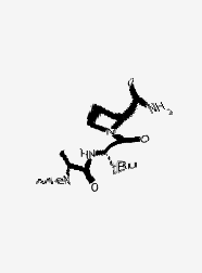 CN[C@@H](C)C(=O)N[C@H](C(=O)N1CCC1C(N)=O)C(C)(C)C